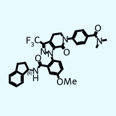 COc1ccc(-n2nc(C(F)(F)F)c3c2C(=O)N(c2ccc(C(=O)N(C)C)cc2)CC3)c(C(=O)N[C@@H]2CCc3ccccc32)c1